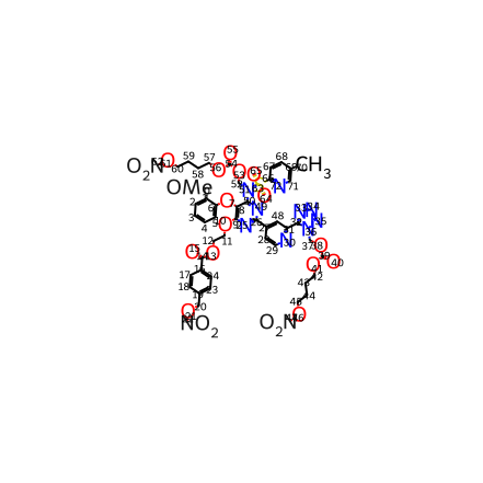 COc1ccccc1Oc1c(OCCOC(=O)c2ccc(CO[N+](=O)[O-])cc2)nc(-c2ccnc(-c3nnnn3COC(=O)OCCCCO[N+](=O)[O-])c2)nc1N(COC(=O)OCCCCO[N+](=O)[O-])S(=O)(=O)c1ccc(C)cn1